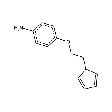 Nc1ccc(OCCC2C=CC=C2)cc1